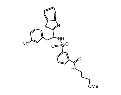 COCCCNC(=O)c1cccc(S(=O)(=O)NC(Cc2cccc(C#N)c2)c2nc3ccccc3s2)c1